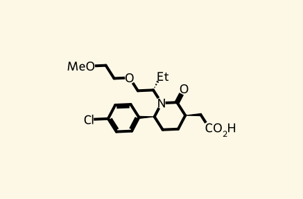 CC[C@@H](COCCOC)N1C(=O)[C@@H](CC(=O)O)CC[C@H]1c1ccc(Cl)cc1